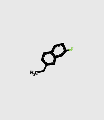 CCc1ccc2ccc(F)cc2c1